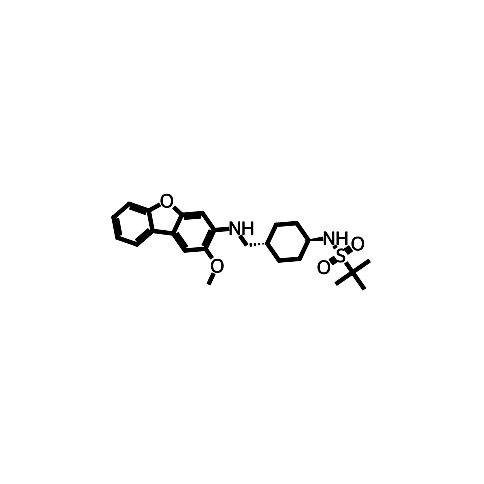 COc1cc2c(cc1NC[C@H]1CC[C@H](NS(=O)(=O)C(C)(C)C)CC1)oc1ccccc12